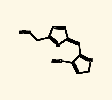 CCCCCCCCCCC1=NC(=CC2=NCC=C2OC)C=C1